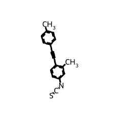 Cc1ccc(C#Cc2ccc(N=C=S)cc2C)cc1